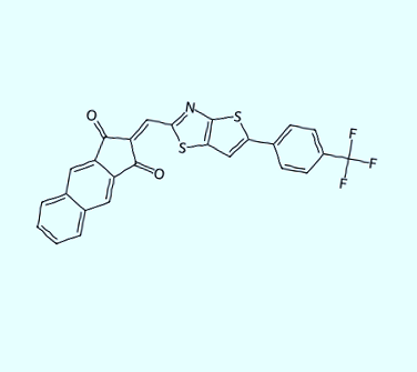 O=C1C(=Cc2nc3sc(-c4ccc(C(F)(F)F)cc4)cc3s2)C(=O)c2cc3ccccc3cc21